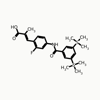 C/C(=C\c1ccc(NC(=O)c2cc(S(C)(C)C)cc(S(C)(C)C)c2)cc1F)C(=O)O